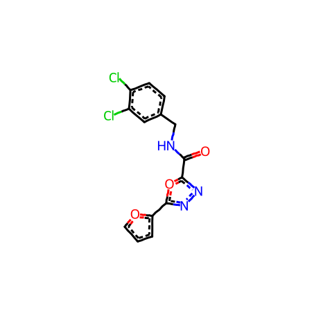 O=C(NCc1ccc(Cl)c(Cl)c1)c1nnc(-c2ccco2)o1